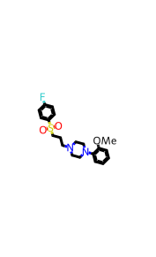 COc1ccccc1N1CCN(CCCS(=O)(=O)c2ccc(F)cc2)CC1